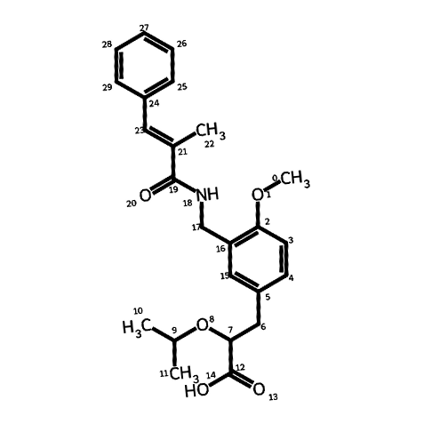 COc1ccc(CC(OC(C)C)C(=O)O)cc1CNC(=O)/C(C)=C/c1ccccc1